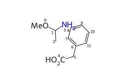 COC(C)N.O=C(O)Cc1ccccc1